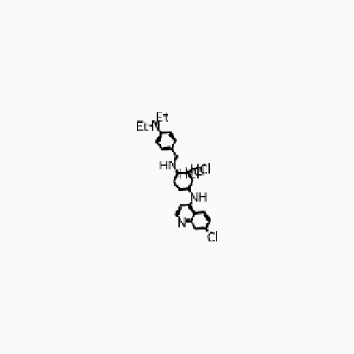 CCN(CC)c1ccc(CNC2CCC(Nc3ccnc4cc(Cl)ccc34)CC2)cc1.Cl.Cl.Cl